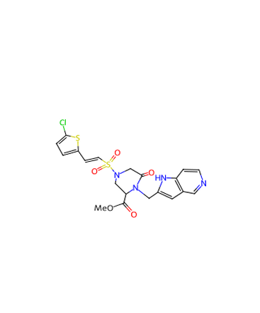 COC(=O)C1CN(S(=O)(=O)C=Cc2ccc(Cl)s2)CC(=O)N1Cc1cc2cnccc2[nH]1